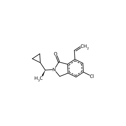 C=Cc1cc(Cl)cc2c1C(=O)N([C@@H](C)C1CC1)C2